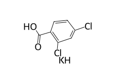 O=C(O)c1ccc(Cl)cc1Cl.[KH]